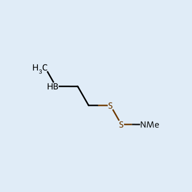 CBCCSSNC